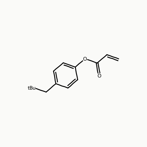 C=CC(=O)Oc1ccc(CC(C)(C)C)cc1